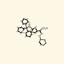 O=C(O)C(=NOC1C=CCCC1)c1csc(NC(c2ccccc2)(c2ccccc2)c2ccccc2)n1